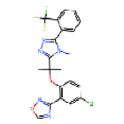 Cn1c(-c2ccccc2C(F)(F)F)nnc1C(C)(C)Oc1ccc(Cl)cc1-c1ncon1